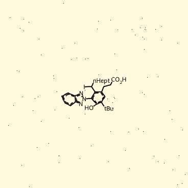 CCCCCCCC(I)c1c(CCC(=O)O)cc(C(C)(C)C)c(O)c1-n1nc2ccccc2n1